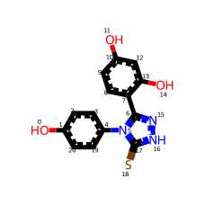 Oc1ccc(-n2c(-c3ccc(O)cc3O)n[nH]c2=S)cc1